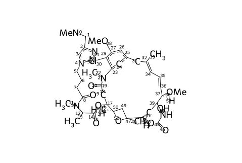 CNCc1cn(CCCC(=O)N(C)C(C)C(=O)O[C@H]2CC(=O)N(C)c3cc(cc(OC)c3Cl)C/C(C)=C/C=C/[C@@H](OC)[C@@]3(O)C[C@H](OC(=O)N3)C3(C)C[C@@]2(C)O3)nn1